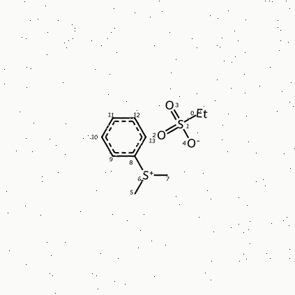 CCS(=O)(=O)[O-].C[S+](C)c1ccccc1